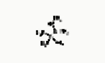 PPB(P)C(P)(P)P